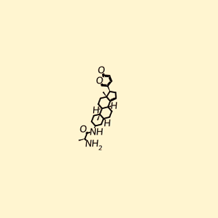 C[C@H](N)C(=O)N[C@H]1CC[C@@]2(C)[C@H](CC[C@H]3C4=CC[C@H](c5ccc(=O)oc5)[C@@]4(C)CC[C@@H]32)C1